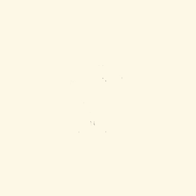 O=[N+]([O-])c1cc([N+](=O)[O-])c(Br)s1